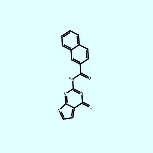 O=C1N=C(NC(=O)c2ccc3ccccc3c2)N=C2N=CC=C12